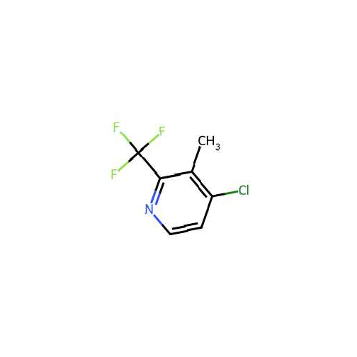 Cc1c(Cl)ccnc1C(F)(F)F